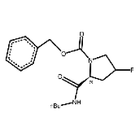 CCCCNC(=O)[C@@H]1CC(F)CN1C(=O)OCc1ccccc1